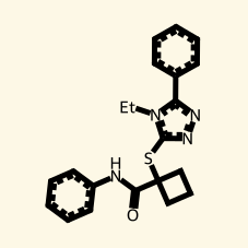 CCn1c(SC2(C(=O)Nc3ccccc3)CCC2)nnc1-c1ccccc1